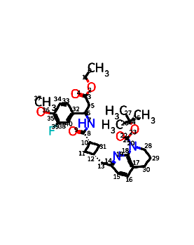 CCOC(=O)CC(NC(=O)[C@H]1C[C@@H](Cc2ccc3c(n2)N(C(=O)OC(C)(C)C)CCC3)C1)c1ccc(OC)c(F)c1